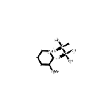 CNC1CCCNC1.CP(=O)(O)P(=O)(O)O